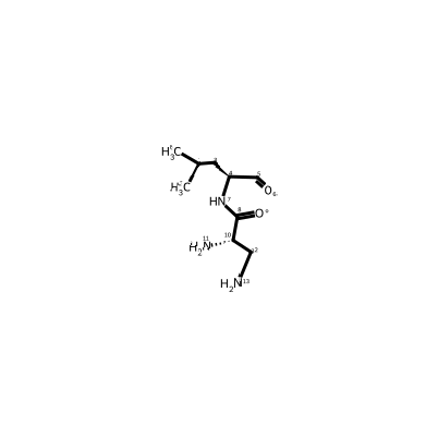 CC(C)C[C@@H](C=O)NC(=O)[C@@H](N)CN